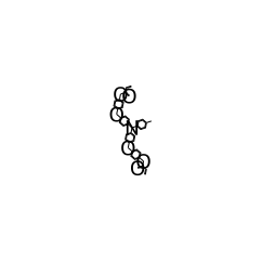 C=CC(=O)Oc1ccc(Oc2ccc(N(c3ccc(C)cc3)c3ccc(Oc4ccc(OC(=O)C=C)cc4)cc3)cc2)cc1